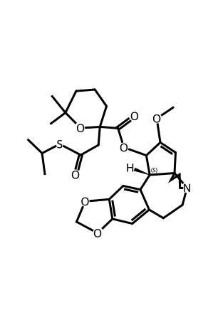 COC1=CC23CCCN2CCc2cc4c(cc2[C@@H]3C1OC(=O)C1(CC(=O)SC(C)C)CCCC(C)(C)O1)OCO4